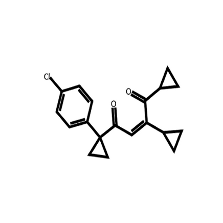 O=C(/C(=C\C(=O)C1(c2ccc(Cl)cc2)CC1)C1CC1)C1CC1